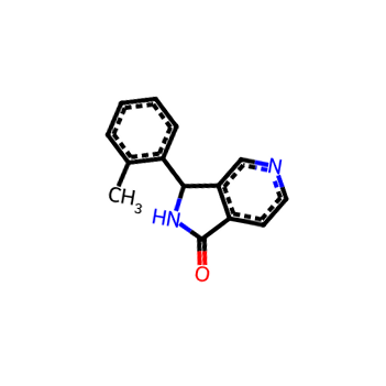 Cc1ccccc1C1NC(=O)c2ccncc21